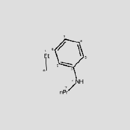 CCC.CCCNc1ccccc1